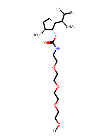 CCOCCOCCOCCOCCNC(=O)O[C@H]1[C@@H]([C@H](NC(C)=O)C(CC)CC)CC[C@@H]1C(=O)O